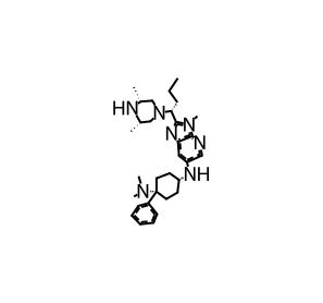 CCC[C@H](c1nc2cc(N[C@H]3CC[C@@](c4ccccc4)(N(C)C)CC3)cnc2n1C)N1C[C@@H](C)N[C@@H](C)C1